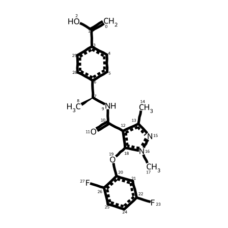 C=C(O)c1ccc([C@H](C)NC(=O)c2c(C)nn(C)c2Oc2cc(F)ccc2F)cc1